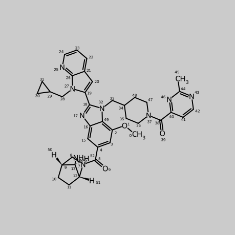 COc1cc(C(=O)N2C[C@H]3CC[C@@H]2[C@@H]3N)cc2nc(-c3cc4cccnc4n3CC3CC3)n(CC3CCN(C(=O)c4ccnc(C)n4)CC3)c12